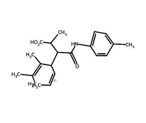 C/C=C\C(C(C)=C(C)C)C(C(=O)Nc1ccc(C)cc1)C(C)C(=O)O